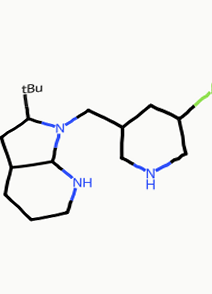 CC(C)(C)C1CC2CCCNC2N1CC1CNCC(F)C1